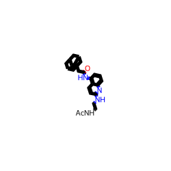 CC(=O)NCCNc1ccc2c(NC(=O)CC34CC5CC(CC(C5)C3)C4)cccc2n1